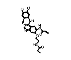 C=CC(=O)Nc1cc2c(Nc3cc(Cl)c(Cl)cc3F)ncnc2cc1OCCNC(=O)CC